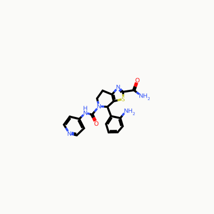 NC(=O)c1nc2c(s1)C(c1ccccc1N)N(C(=O)Nc1ccncc1)CC2